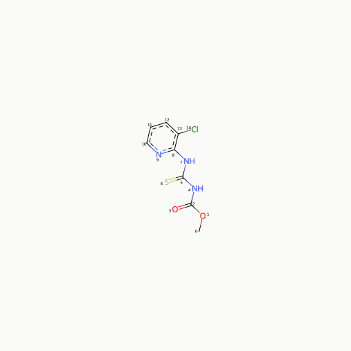 COC(=O)NC(=S)Nc1ncccc1Cl